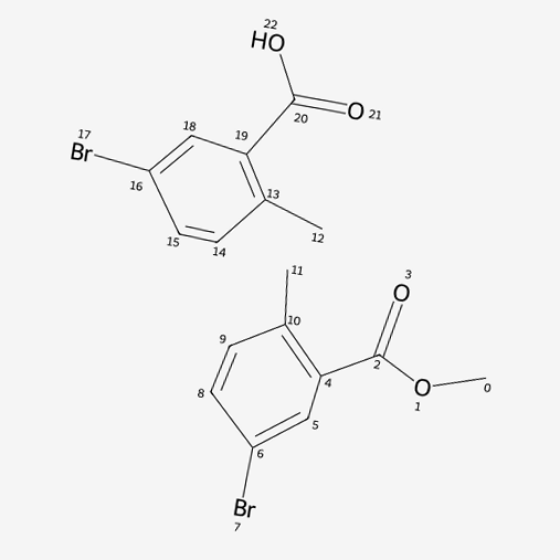 COC(=O)c1cc(Br)ccc1C.Cc1ccc(Br)cc1C(=O)O